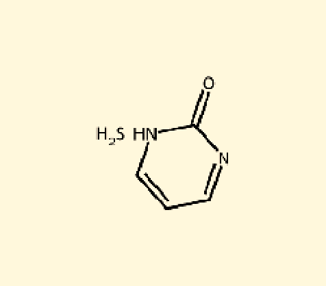 O=c1nccc[nH]1.S